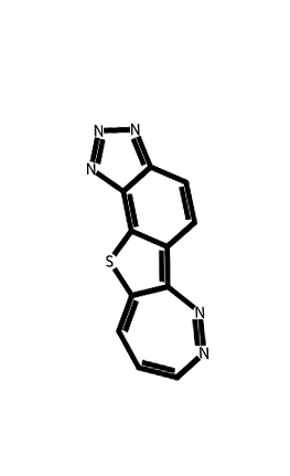 c1cnnc2c(c1)sc1c2ccc2nnnc21